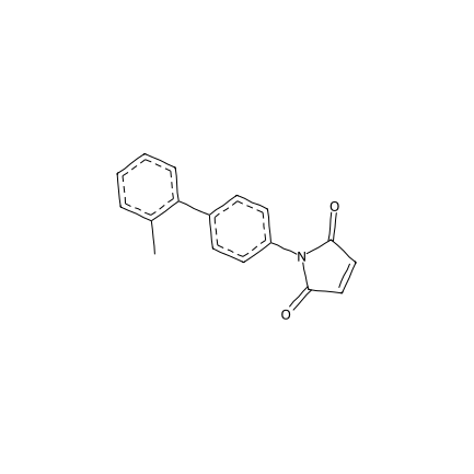 Cc1ccccc1-c1ccc(N2C(=O)C=CC2=O)cc1